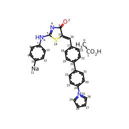 CC(=O)O.O=C1N=C(Nc2cc[c]([Na])cc2)SC1=Cc1ccc(-c2ccc(-n3cccc3)cc2)cc1